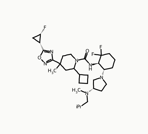 CC(C)CN(C)[C@H]1CCN([C@H]2CCCC(F)(F)[C@@H]2NC(=O)N2CCC(C)(c3noc([C@@H]4C[C@@H]4F)n3)CC2C2CCC2)C1